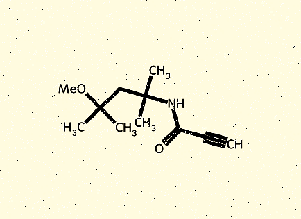 C#CC(=O)NC(C)(C)CC(C)(C)OC